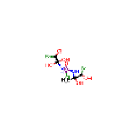 BC(O)(NP(=O)(Cl)NC(O)(O)C(O)Br)C(O)Br